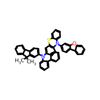 CC1(C)c2ccccc2-c2ccc(N(c3ccc4c(c3)Sc3ccccc3N4c3ccc4c(c3)oc3ccccc34)c3ccccc3-c3ccccc3)cc21